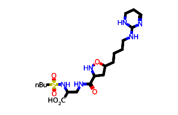 CCCCS(=O)(=O)NC(CNC(=O)C1CC(CCCCNC2N=CCCN2)ON1)C(=O)O